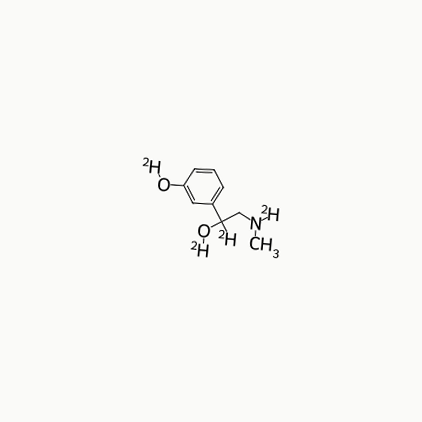 [2H]Oc1cccc(C([2H])(CN([2H])C)O[2H])c1